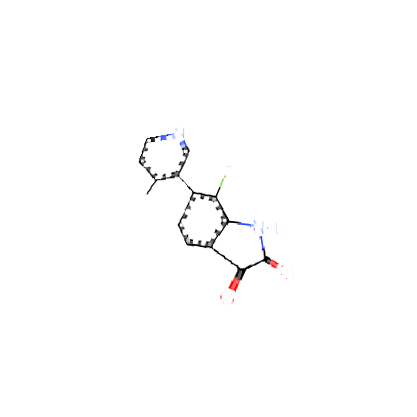 Cc1ccncc1-c1ccc2c(c1F)NC(=O)C2=O